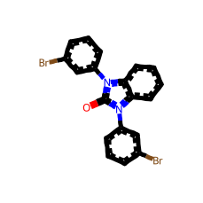 O=c1n(-c2cccc(Br)c2)c2ccccc2n1-c1cccc(Br)c1